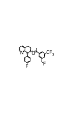 C[C@H](O[C@H]1CCc2cccnc2[C@@H]1c1ccc(F)cc1)c1cc(CF)cc(C(F)(F)F)c1